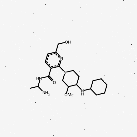 COC1CN(c2nc(CO)ccc2C(=O)NC(C)N)CCC1NC1CCCCC1